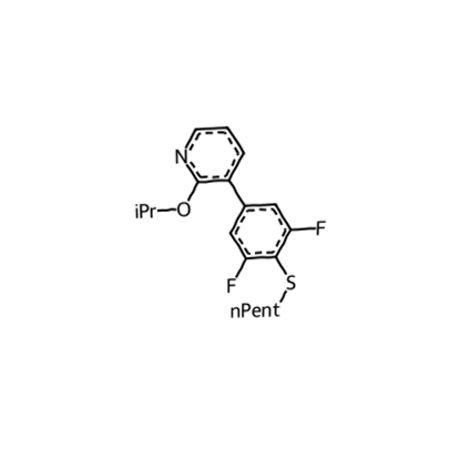 CCCCCSc1c(F)cc(-c2cccnc2OC(C)C)cc1F